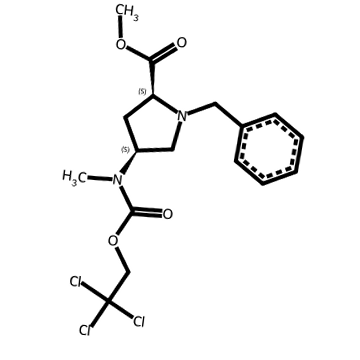 COC(=O)[C@@H]1C[C@H](N(C)C(=O)OCC(Cl)(Cl)Cl)CN1Cc1ccccc1